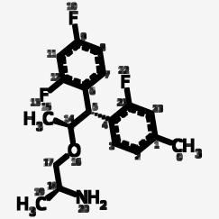 Cc1ccc([C@@H](c2ccc(F)cc2F)[C@H](C)OC[C@H](C)N)c(F)c1